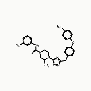 Cc1ccc(Oc2ccc(Cc3nsc(N4CCN(C(=O)Nc5cccc(C#N)c5)CC4C)n3)cc2)cc1